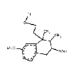 CCOCCC1(C)c2cc(OC)ccc2CC(NC)C1C